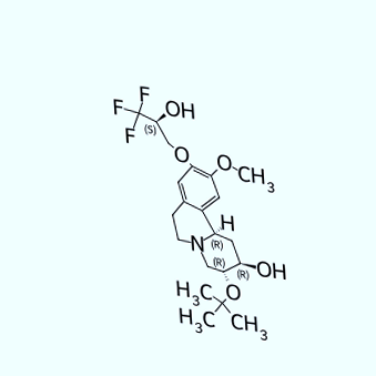 COc1cc2c(cc1OC[C@H](O)C(F)(F)F)CCN1C[C@@H](OC(C)(C)C)[C@H](O)C[C@H]21